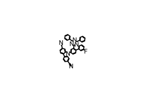 N#Cc1ccc2c3ccc(C#N)cc3n(-c3ccc(-c4cccc(F)c4)c(-c4nc(-c5ccccc5)nc(-c5ccccc5)n4)c3)c2c1